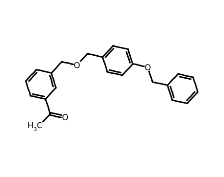 CC(=O)c1cccc(COCc2ccc(OCc3ccccc3)cc2)c1